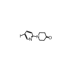 O=C1CCN(c2ccc(I)cn2)CC1